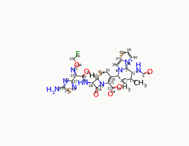 CC(C)[C@@H](NC=O)c1n(CC2=C(C(=O)[O-])N3C(=O)[C@@H](NC(=O)/C(=N\OCF)c4nsc(N)n4)[C@H]3SC2)cc2scc[n+]12